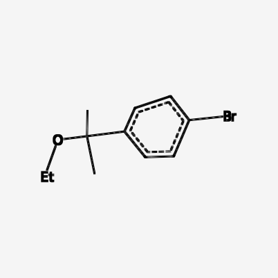 CCOC(C)(C)c1ccc(Br)cc1